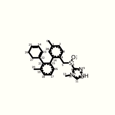 Cc1ccc(C[S+]([O-])c2n[nH]c[n+]2C)c(-c2cccc(C)c2C2=CC=CCC2)c1